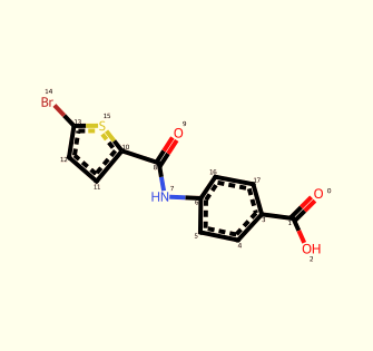 O=C(O)c1ccc(NC(=O)c2ccc(Br)s2)cc1